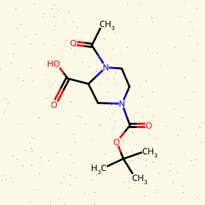 CC(=O)N1CCN(C(=O)OC(C)(C)C)CC1C(=O)O